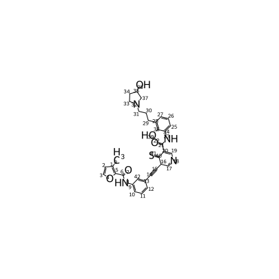 Cc1ccoc1C(=O)Nc1cccc(C#CC2C=NC=C(C(=O)Nc3cccc(CCCN4CCC(O)C4)c3O)C2=S)c1